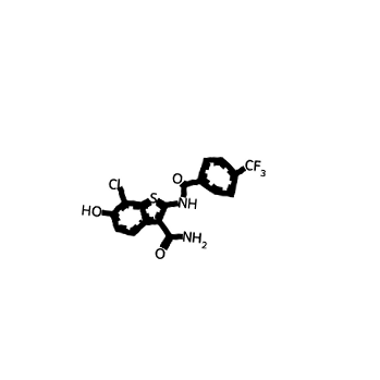 NC(=O)c1c(NC(=O)c2ccc(C(F)(F)F)cc2)sc2c(Cl)c(O)ccc12